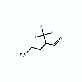 CCCC(C=O)C(F)(F)F